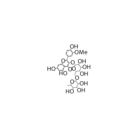 COc1cc(-c2oc3cc(O)cc(O)c3c(=O)c2OC2OC(COC3OC(C)C(O)C(O)C3O)C(O)C(O)C2O)ccc1O